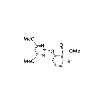 COC(=O)c1c(Br)cccc1Oc1nc(OC)cc(OC)n1